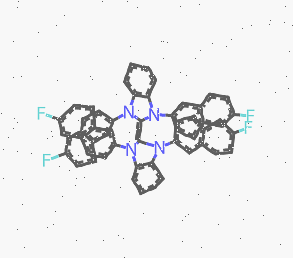 Fc1ccc2cc(N3C(=C4N(c5ccc6cc(F)ccc6c5)c5ccccc5N4c4ccc5cc(F)ccc5c4)N(c4ccc5cc(F)ccc5c4)c4ccccc43)ccc2c1